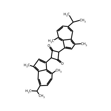 Cc1cc(C2C(=O)C(c3cc(C)c4cc(C(C)C)ccc(C)c3-4)C2=O)c2c(C)ccc(C(C)C)cc1-2